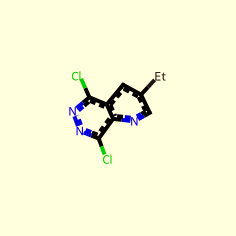 CCc1cnc2c(Cl)nnc(Cl)c2c1